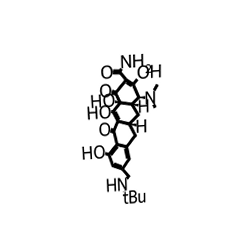 CN(C)[C@@H]1C(O)=C(C(N)=O)C(=O)[C@@]2(O)C(O)=C3C(=O)c4c(O)cc(CNC(C)(C)C)cc4C[C@H]3C[C@@H]12